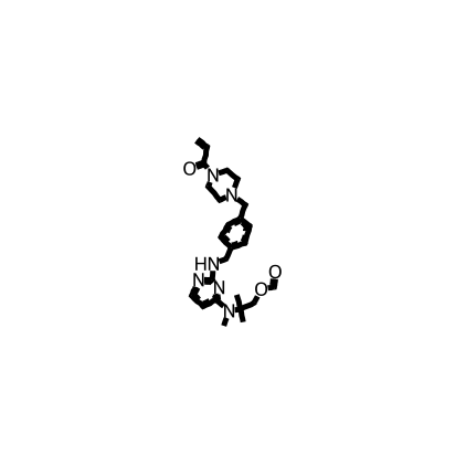 C=CC(=O)N1CCN(Cc2ccc(CNc3nccc(N(C)C(C)(C)COC=O)n3)cc2)CC1